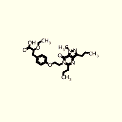 CCCc1nn(C)c2c(=O)n(CCOc3ccc(CC(OCC)C(=O)O)cc3)c(CCC)nc12